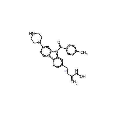 C=C(/C=C/c1ccc2c3ccc(N4CCNCC4)cc3n(C(=O)c3ccc(C)cc3)c2c1)NO